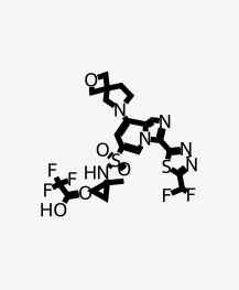 CC1(NS(=O)(=O)c2cc(N3CCC4(COC4)C3)c3cnc(-c4nnc(C(F)F)s4)n3c2)CC1.O=C(O)C(F)(F)F